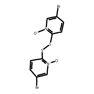 [O-][n+]1cc(Br)ccc1SSc1ccc(Br)c[n+]1[O-]